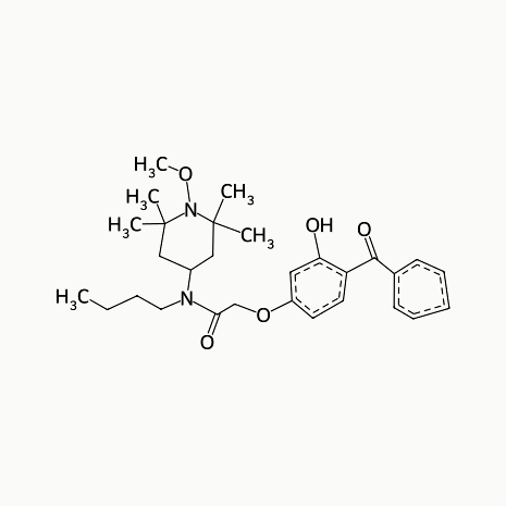 CCCCN(C(=O)COc1ccc(C(=O)c2ccccc2)c(O)c1)C1CC(C)(C)N(OC)C(C)(C)C1